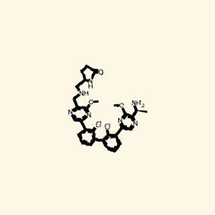 COc1nc(-c2cccc(-c3cccc(-c4cnc([C@H](C)N)c(OC)n4)c3Cl)c2Cl)cnc1CNCC1CCC(=O)N1